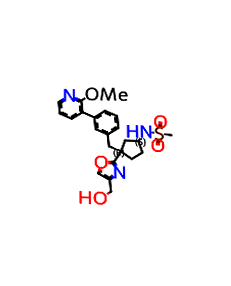 COc1ncccc1-c1cccc(C[C@]2(c3nc(CO)co3)CC[C@H](NS(C)(=O)=O)C2)c1